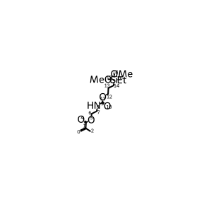 C=C(C)C(=O)OCCNC(=O)OCCC[Si](CC)(OC)OC